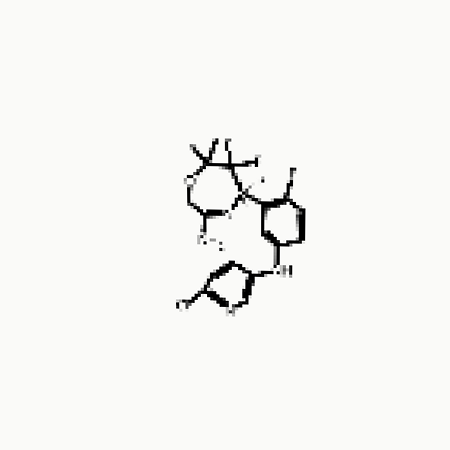 CC1(C)OCC(N)=N[C@](C)(c2cc(Nc3ccc(Cl)nc3)ccc2F)C1(F)F